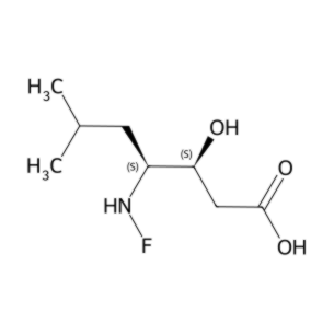 CC(C)C[C@H](NF)[C@@H](O)CC(=O)O